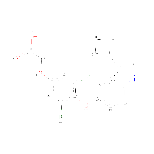 O=C(O)COc1cc(Cl)c(Oc2ccc3[nH]cc(C4CCC4)c3c2)c(Br)c1